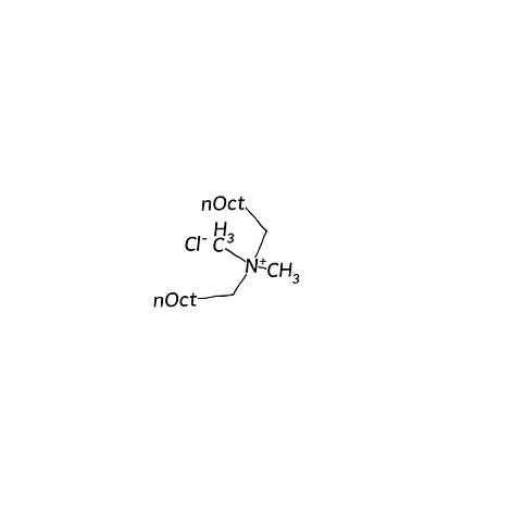 CCCCCCCCC[N+](C)(C)CCCCCCCCC.[Cl-]